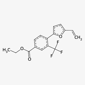 C=Cc1ccc(-c2ccc(C(=O)OCC)cc2C(F)(F)F)o1